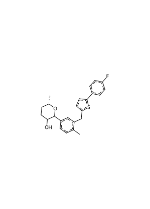 Cc1ccc(C2O[C@@H](C)CCC2O)cc1Cc1ccc(-c2ccc(F)cc2)s1